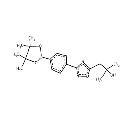 CC(C)(O)Cc1nc(-c2ccc(B3OC(C)(C)C(C)(C)O3)cc2)no1